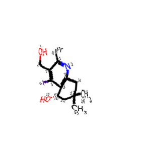 CC(C)c1nc2c(c(I)c1CO)[C@@H](O)CC(C)(C)C2